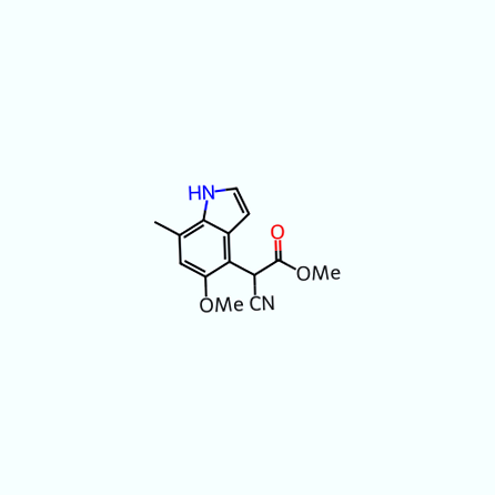 COC(=O)C(C#N)c1c(OC)cc(C)c2[nH]ccc12